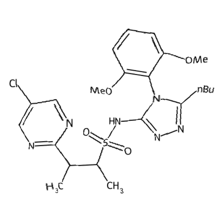 CCCCc1nnc(NS(=O)(=O)C(C)C(C)c2ncc(Cl)cn2)n1-c1c(OC)cccc1OC